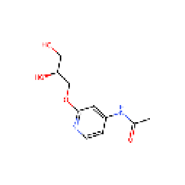 CC(=O)Nc1ccnc(OC[C@@H](O)CO)c1